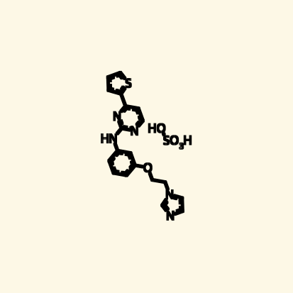 O=S(=O)(O)O.c1cc(Nc2nccc(-c3cccs3)n2)cc(OCCn2ccnc2)c1